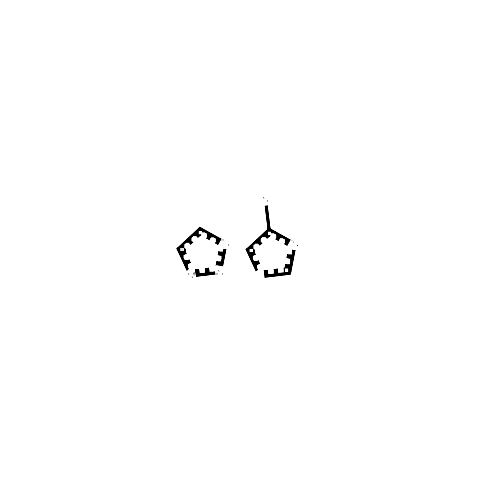 Nc1cscn1.c1c[nH]nn1